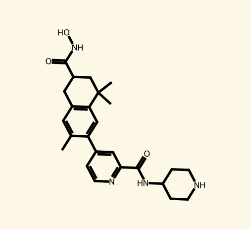 Cc1cc2c(cc1-c1ccnc(C(=O)NC3CCNCC3)c1)C(C)(C)CC(C(=O)NO)C2